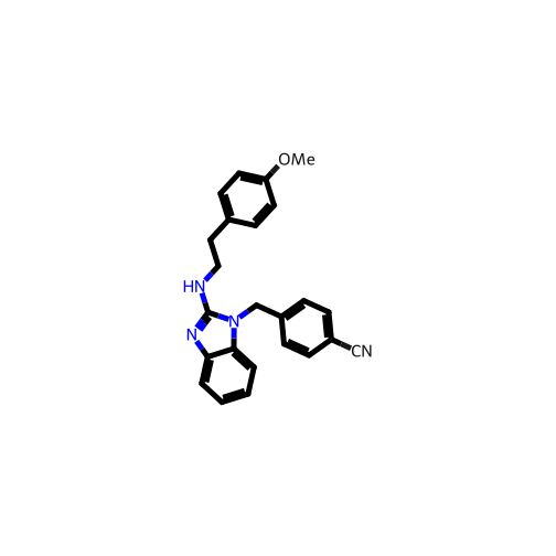 COc1ccc(CCNc2nc3ccccc3n2Cc2ccc(C#N)cc2)cc1